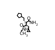 CCNC(=O)[C@H](CC1CC1)[C@H](CCC1CCCC1)C(N)=O